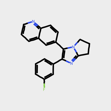 Fc1cccc(-c2nc3n(c2-c2ccc4ncccc4c2)CCC3)c1